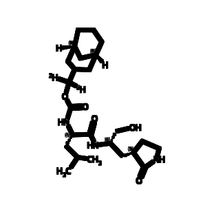 [2H]C([2H])(OC(=O)N[C@@H](CC(C)C)C(=O)N[C@H](CO)C[C@@H]1CCNC1=O)C1C[C@H]2CCC[C@@H](C1)C2